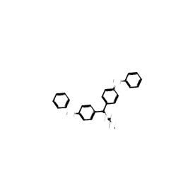 [N-]=[N+]=C(c1ccc(Oc2ccccc2)cc1)c1ccc(Oc2ccccc2)cc1